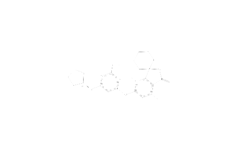 Cc1nc(Nc2cc(C)c3c([n+]2[O-])C2(CCCCC2)NC3=O)cc(N[C@H]2CCOC2)n1